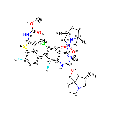 C=C1CN2CCCC2(COc2nc(N3C[C@H]4CC[C@@H](C3)N4C(=O)OC(C)(C)C)c3cc(Cl)c(-c4ccc(F)c5sc(NC(=O)OC(C)(C)C)c(C#N)c45)c(F)c3n2)C1